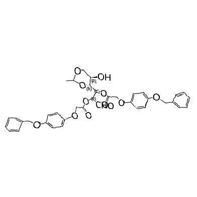 CC1OC[C@@H](O)[C@H]([C@H](OC(=O)COc2ccc(OCc3ccccc3)cc2)[C@H](C=O)OC(=O)COc2ccc(OCc3ccccc3)cc2)O1